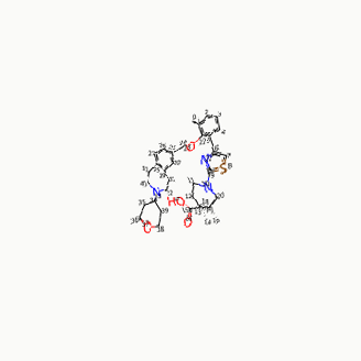 Cc1cccc(-c2csc(N3CC[C@](C)(C(=O)O)[C@@H](C)C3)n2)c1OCc1ccc2c(c1)CCN(C1CCOCC1)CC2